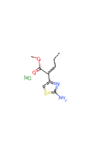 CC/C=C(\C(=O)OC)c1csc(N)n1.Cl